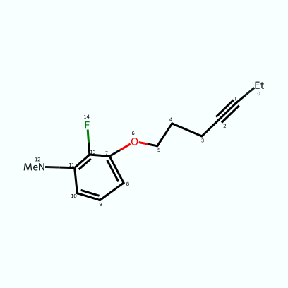 CCC#CCCCOc1cccc(NC)c1F